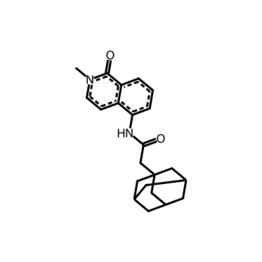 Cn1ccc2c(NC(=O)CC34CC5CC(CC(C5)C3)C4)cccc2c1=O